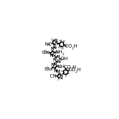 [C-]#[N+]c1cnn(-c2ccc(C(=O)O)c(C(=O)O)c2)c1N=Nc1c(C(C)(C)C)nn(-c2nc(O)nc(-n3nc(C(C)(C)C)c(N=Nc4c(C#N)cnn4-c4ccc(C(=O)O)cc4)c3N)n2)c1N